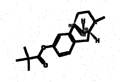 CN1CC[C@@]23CCCC[C@@H]2[C@@H]1Cc1ccc(OC(=O)C(C)(C)C)cc13